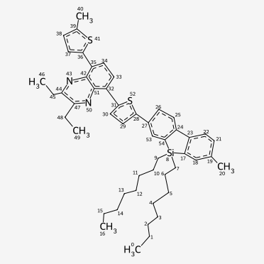 CCCCCCCC[Si]1(CCCCCCCC)c2cc(C)ccc2-c2ccc(-c3ccc(-c4ccc(-c5ccc(C)s5)c5nc(CC)c(CC)nc45)s3)cc21